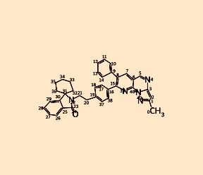 Cc1cc2ncc3cc(-c4ccccc4)c(-c4ccc(CCN5C(=O)c6ccccc6C56CCCCC6)cc4)nc3n2n1